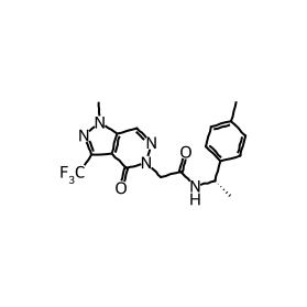 Cc1ccc([C@H](C)NC(=O)Cn2ncc3c(c(C(F)(F)F)nn3C)c2=O)cc1